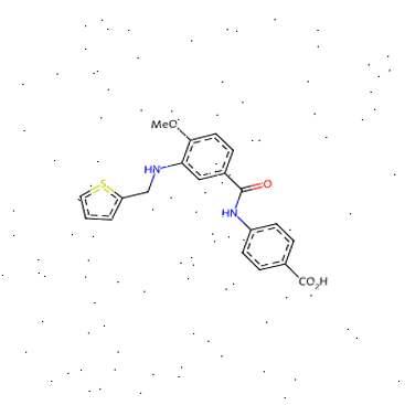 COc1ccc(C(=O)Nc2ccc(C(=O)O)cc2)cc1NCc1cccs1